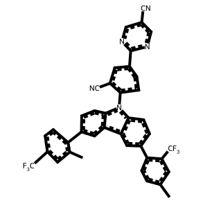 Cc1ccc(-c2ccc3c(c2)c2cc(-c4ccc(C(F)(F)F)cc4C)ccc2n3-c2ccc(-c3ncc(C#N)cn3)cc2C#N)c(C(F)(F)F)c1